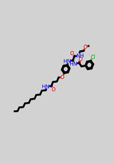 CCCCCCCCCCCCNC(=O)CCCOc1ccc(NC(NC(=O)Cc2cccc(Cl)c2)C(=O)NCCOC)cc1